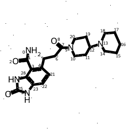 NC(=O)c1c(C[CH]C(=O)N2CCC(N3CCCCC3)CC2)ccc2[nH]c(=O)[nH]c12